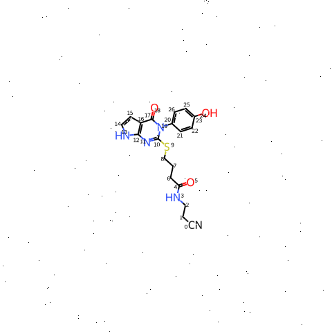 N#CCCNC(=O)CCCSc1nc2[nH]ccc2c(=O)n1-c1ccc(O)cc1